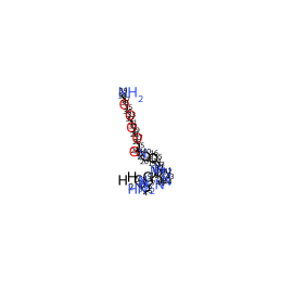 C=Nc1[nH]ccc1/C=C(\C)c1nn(Cc2ccc3c(c2)CCN(C(=O)CCOCCOCCOCCOCCN)C3)c2ncnc(N)c12